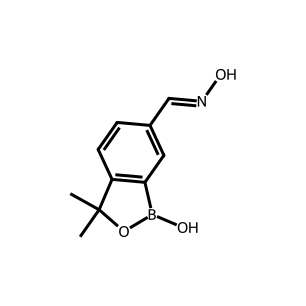 CC1(C)OB(O)c2cc(C=NO)ccc21